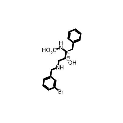 O=C(O)N[C@@H](Cc1ccccc1)[C@H](O)CNCc1cccc(Br)c1